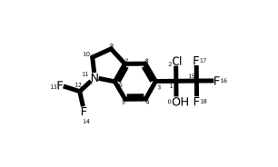 OC(Cl)(c1ccc2c(c1)CCN2C(F)F)C(F)(F)F